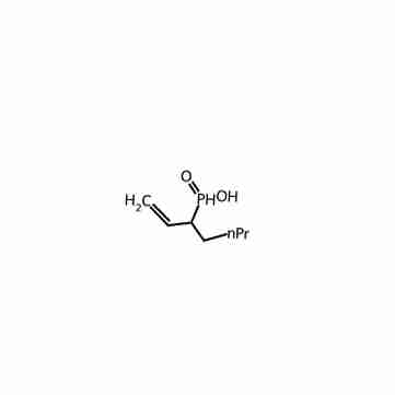 C=CC(CCCC)[PH](=O)O